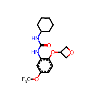 O=C(Nc1cc(OC(F)(F)F)ccc1OC1COC1)NC1CCCCC1